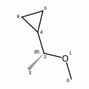 CO[C@H](C)C1CC1